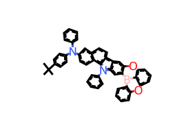 CC(C)(C)c1ccc(N(c2ccccc2)c2ccc3c(ccc4c5cc6c(cc5n(-c5ccccc5)c34)B3c4ccccc4Oc4cccc(c43)O6)c2)cc1